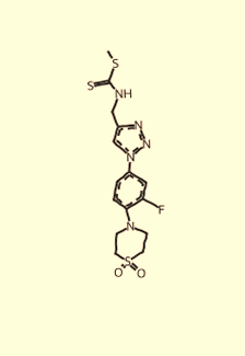 CSC(=S)NCc1cn(-c2ccc(N3CCS(=O)(=O)CC3)c(F)c2)nn1